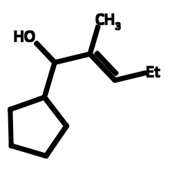 CCC=C(C)C(O)C1CCCC1